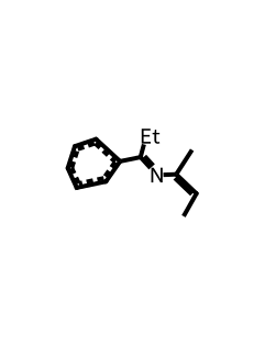 C/C=C(C)\N=C(/CC)c1ccccc1